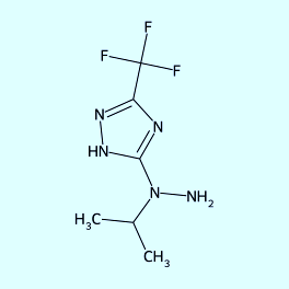 CC(C)N(N)c1nc(C(F)(F)F)n[nH]1